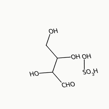 O=CC(O)C(O)CO.O=S(=O)(O)O